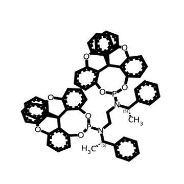 C[C@@H](c1ccccc1)N(CCN([C@@H](C)c1ccccc1)P1Oc2cccc3c2C2(c4ccccc4O3)c3ccccc3Oc3cccc(c32)O1)P1Oc2cccc3c2C2(c4ccccc4O3)c3ccccc3Oc3cccc(c32)O1